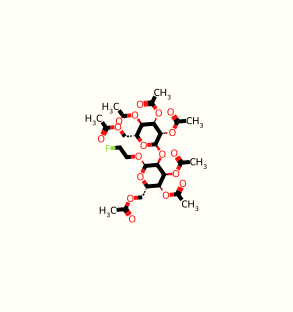 CC(=O)OC[C@@H]1O[C@H](OCCF)[C@@H](O[C@H]2O[C@H](COC(C)=O)[C@@H](OC(C)=O)[C@H](OC(C)=O)[C@@H]2OC(C)=O)[C@@H](OC(C)=O)[C@@H]1OC(C)=O